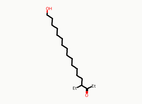 CCC(=O)C(CC)CCCCCCCCCCCCCCO